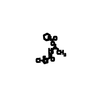 CC[C@@H](CCNC(=O)c1ccc(Cl)s1)COC(=O)N1CCCCC1